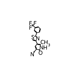 Cc1[nH]c(=O)c(C#N)cc1-c1csc(-c2cccc(C(F)(F)F)c2)n1